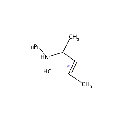 C/C=C/C(C)NCCC.Cl